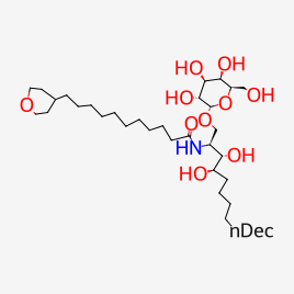 CCCCCCCCCCCCCC[C@@H](O)[C@@H](O)[C@H](CO[C@H]1O[C@H](CO)[C@H](O)[C@H](O)[C@H]1O)NC(=O)CCCCCCCCCCC1CCOCC1